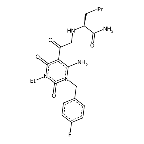 CCn1c(=O)c(C(=O)CN[C@@H](CC(C)C)C(N)=O)c(N)n(Cc2ccc(F)cc2)c1=O